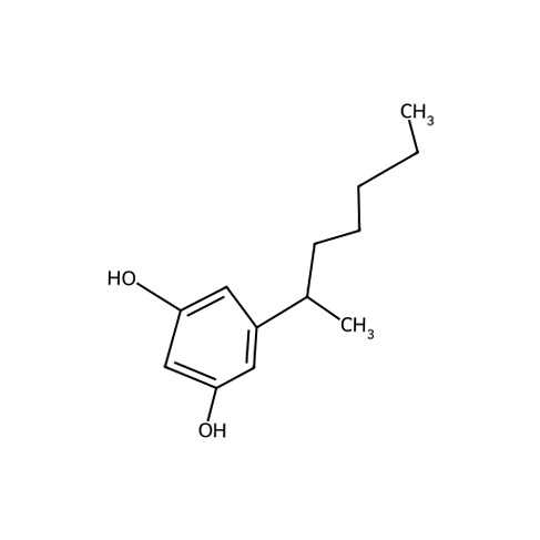 CCCCCC(C)c1cc(O)cc(O)c1